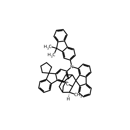 C[C@H]1C2CCC3CC(C2)CC1C31c2ccccc2-c2cccc(N(c3ccc4c(c3)C(C)(C)c3ccccc3-4)c3ccc4c(c3)C3(CCCC3)c3ccccc3-4)c21